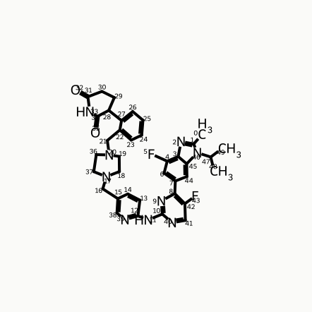 Cc1nc2c(F)cc(-c3nc(Nc4ccc(CN5CCN(Cc6ccccc6C6CCC(=O)NC6=O)CC5)cn4)ncc3F)cc2n1C(C)C